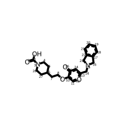 O=C(O)N1CCC(CCOc2coc(CN3Cc4ccccc4C3)cc2=O)CC1